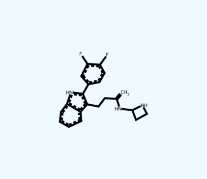 C=C(CCc1c(-c2ccc(F)c(F)c2)[nH]c2ccccc12)NC1CCN1